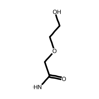 [NH]C(=O)COCCO